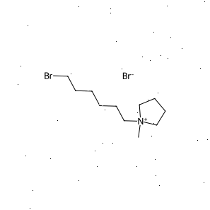 C[N+]1(CCCCCCBr)CCCC1.[Br-]